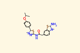 CC(C)Oc1ccc(C2SC(NC(=O)Cc3ccc4c(c3)SC(N)N4C)=NN2C)cc1